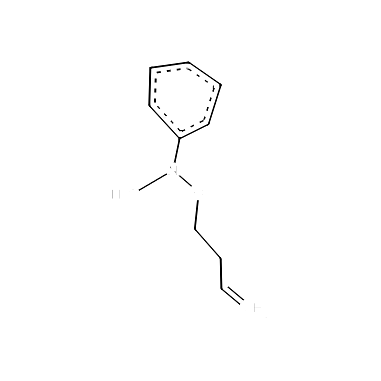 C=CCCON(C)c1ccccc1